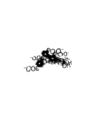 CC(O)(S)S.C[CH](C)[Sn+3].C[CH](C)[Sn+3].O=C([O-])c1ccc(C(=O)[O-])cc1.O=C([O-])c1ccc(C(=O)[O-])cc1.O=C([O-])c1ccc(C(=O)[O-])cc1